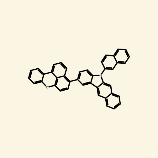 c1ccc2c(c1)Oc1ccc(-c3ccc4c(c3)c3cc5ccccc5cc3n4-c3ccc4ccccc4c3)c3cccc-2c13